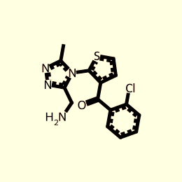 Cc1nnc(CN)n1-c1sccc1C(=O)c1ccccc1Cl